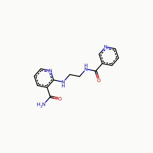 NC(=O)c1cccnc1NCCNC(=O)c1cccnc1